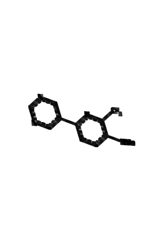 CNc1ccc(-c2cncnc2)nc1C(F)(F)F